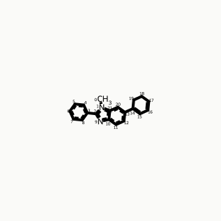 Cn1c(-c2ccccc2)nc2ccc(C3=CC=CCC3)cc21